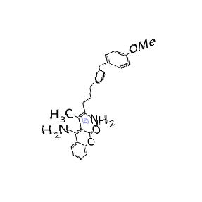 COc1ccc(COCCC/C(N)=C(\C)c2c(N)c3ccccc3oc2=O)cc1